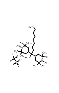 CC(=O)N1C(C)(C)CC(C(CCCCCCCC(=O)O)(C(=O)O)C2CC(C)(C)N(C(C)=O)C(C)(C)C2)CC1(C)C.O=S(=O)(O)C(F)(F)F